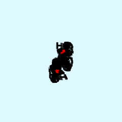 COC(=O)c1ccc2c(CN(CCCCCCNC(=O)OC(C)(C)C)Cc3ccccc3C3BCC(C)(C)CC3)c3ccccc3c(CN(CCCCCCNC(=O)OC(C)(C)C)Cc3ccccc3C3BCC(C)(C)CC3)c2c1